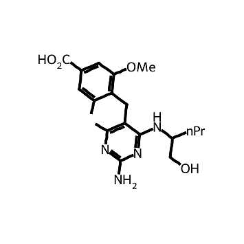 CCCC(CO)Nc1nc(N)nc(C)c1Cc1c(C)cc(C(=O)O)cc1OC